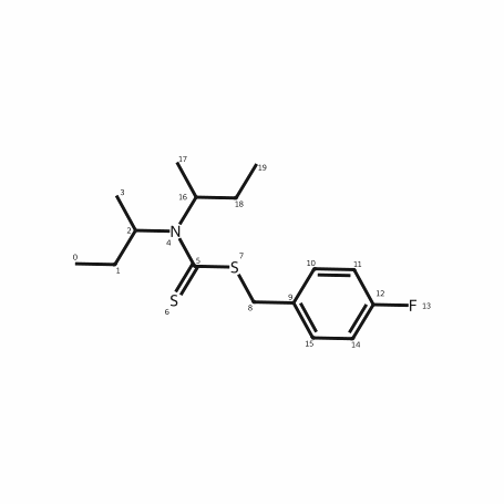 CCC(C)N(C(=S)SCc1ccc(F)cc1)C(C)CC